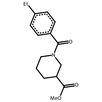 CCc1ccc(C(=O)N2CCCC(C(=O)OC)C2)cc1